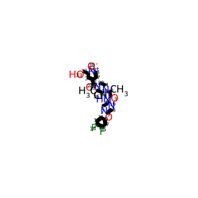 C[C@@H](C(=O)Nc1cnc(Oc2ccc(F)c(F)c2)cn1)N1CCN(C(=O)c2cc[n+]([O-])c(CO)c2)C(C)(C)C1